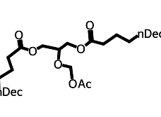 CCCCCCCCCCCCCC(=O)OCC(COC(=O)CCCCCCCCCCCCC)OCOC(C)=O